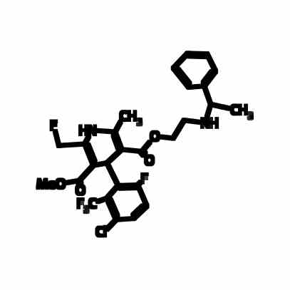 COC(=O)C1=C(CF)NC(C)=C(C(=O)OCCNC(C)c2ccccc2)C1c1c(F)ccc(Cl)c1C(F)(F)F